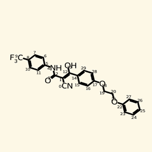 N#CC(C(=O)Nc1ccc(C(F)(F)F)cc1)=C(O)c1ccc(OCCOc2ccccc2)cc1